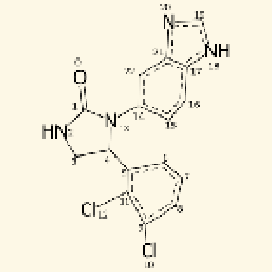 O=C1NCC(c2cccc(Cl)c2Cl)N1c1ccc2[nH]cnc2c1